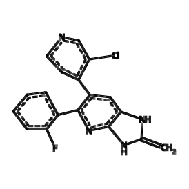 C=C1Nc2cc(-c3ccncc3Cl)c(-c3ccccc3F)nc2N1